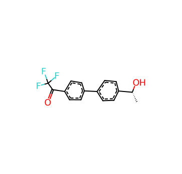 C[C@@H](O)c1ccc(-c2ccc(C(=O)C(F)(F)F)cc2)cc1